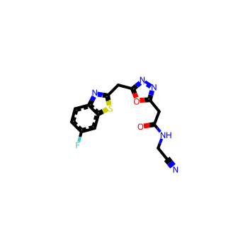 N#CCNC(=O)Cc1nnc(Cc2nc3ccc(F)cc3s2)o1